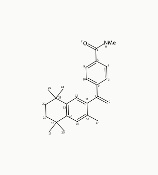 C=C(c1ccc(C(=O)NC)cc1)c1cc2c(cc1C)C(C)(C)CCC2(C)C